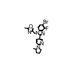 Cc1nc(Cn2c(-c3ccc(N4CCCC4C)nc3)nc3c(F)c(Br)ccc32)co1